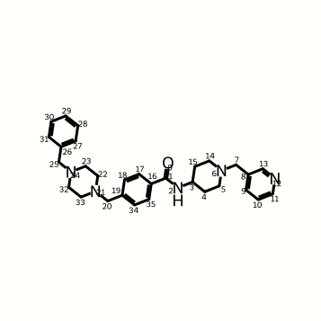 O=C(NC1CCN(Cc2cccnc2)CC1)c1ccc(CN2CCN(Cc3ccccc3)CC2)cc1